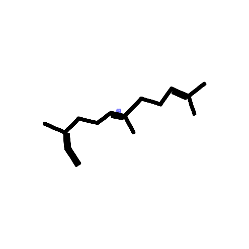 C=C=C(C)CC/C=C(\C)CCC=C(C)C